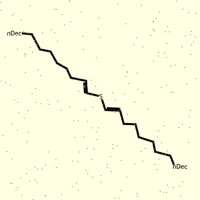 CCCCCCCCCCCCCCCCC=CSC=CCCCCCCCCCCCCCCCC